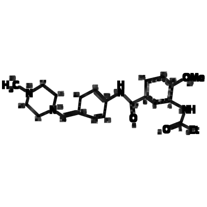 CCC(=O)Nc1cc(C(=O)NC2=CCC(=CN3CCN(C)CC3)C=C2)ccc1OC